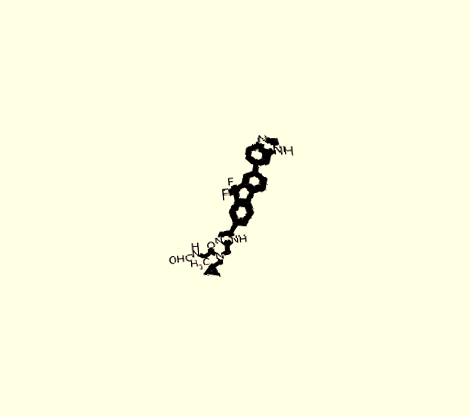 CC1(CN(Cc2ncc(-c3ccc4c(c3)C(F)(F)c3cc(-c5ccc6nc[nH]c6c5)ccc3-4)[nH]2)C(=O)CNC=O)CC1